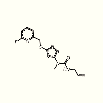 C=CCNC(=O)N(C)c1nnc(SCc2cccc(F)n2)s1